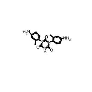 Cc1cc(N)ccc1-n1c(=O)[nH]c(=O)n(-c2ccc(N)cc2C)c1=O